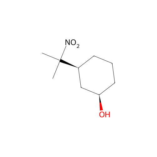 CC(C)([C@H]1CCC[C@@H](O)C1)[N+](=O)[O-]